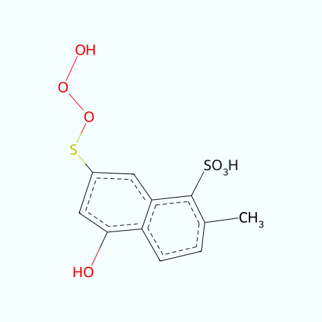 Cc1ccc2c(O)cc(SOOO)cc2c1S(=O)(=O)O